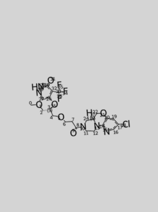 COC[C@@H](COCCC(=O)N1CCN2c3ncc(Cl)cc3OC[C@@H]2C1)Oc1cn[nH]c(=O)c1C(F)(F)F